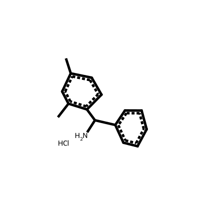 Cc1ccc(C(N)c2ccccc2)c(C)c1.Cl